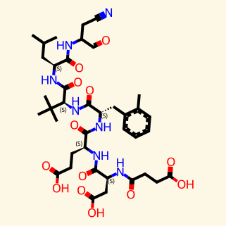 Cc1ccccc1C[C@H](NC(=O)[C@H](CCC(=O)O)NC(=O)[C@H](CC(=O)O)NC(=O)CCC(=O)O)C(=O)N[C@H](C(=O)N[C@@H](CC(C)C)C(=O)NC(C=O)CC#N)C(C)(C)C